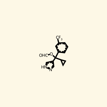 O=COC(c1cn[nH]c1)(c1cccc(C(F)(F)F)c1)C1CC1